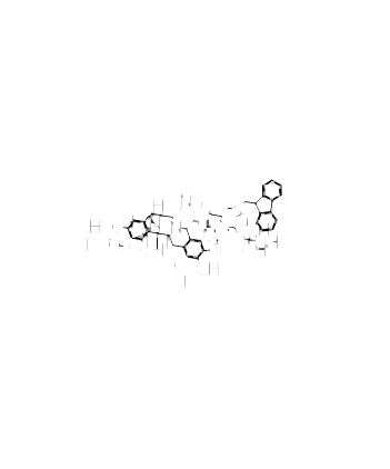 COc1c(C)cc2c(c1C)[C@@H]1[C@@H]3Cc4c(O)c(C)c5c(c4[C@H](COC(=O)[C@@H](CSCC4c6ccccc6-c6ccccc64)NC(=O)OC(C)(C)C)N3[C@@H](C#N)[C@H](C2)N1C)OCO5